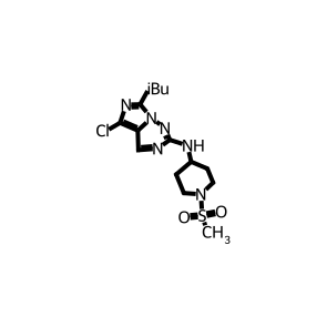 CCC(C)c1nc(Cl)c2cnc(NC3CCN(S(C)(=O)=O)CC3)nn12